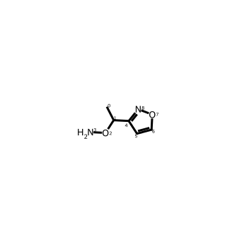 CC(ON)c1ccon1